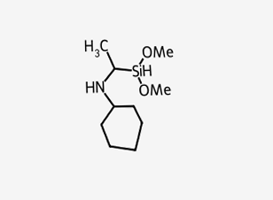 CO[SiH](OC)C(C)NC1CCCCC1